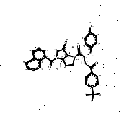 CC(C)(C)c1ccc(C(=O)N[C@@H](Cc2ccc(O)cc2)C(=O)N2CC[C@@H]3[C@H]2C(=O)CN3C(=O)c2cccc3ccccc23)cc1